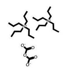 CCC[N+](CCC)(CCC)CCC.CCC[N+](CCC)(CCC)CCC.O=C([O-])OC(=O)[O-]